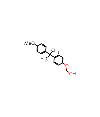 COc1ccc(C(C)(C)c2ccc(OCO)cc2)cc1